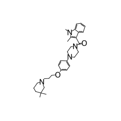 Cc1c(C(=O)N2CCN(c3ccc(OCCCN4CCCC(C)(C)C4)cc3)CC2)c2ccccc2n1C